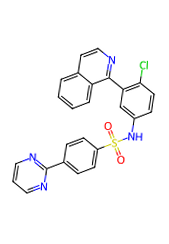 O=S(=O)(Nc1ccc(Cl)c(-c2nccc3ccccc23)c1)c1ccc(-c2ncccn2)cc1